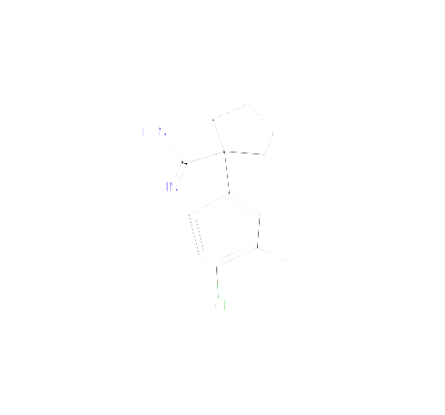 N=C(N)C1(c2ccc(Cl)c(Cl)c2)CCCC1